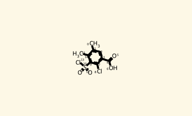 Cc1cc(C(=O)O)c(Cl)c(S(=O)(=O)Cl)c1C